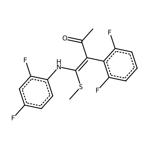 CS/C(Nc1ccc(F)cc1F)=C(/C(C)=O)c1c(F)cccc1F